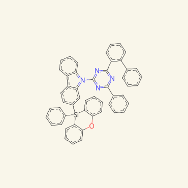 c1ccc(-c2nc(-c3ccccc3-c3ccccc3)nc(-n3c4ccccc4c4ccc([Si]5(c6ccccc6)c6ccccc6Oc6ccccc65)cc43)n2)cc1